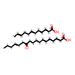 CCCCCCC(=O)CCCCCCCCCCC(=O)O.CCCCCCCCCCCC(=O)O